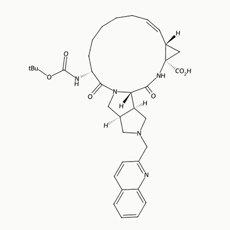 CC(C)(C)OC(=O)N[C@@H]1CCCCC/C=C\[C@@H]2C[C@@]2(C(=O)O)NC(=O)[C@@H]2[C@H]3CN(Cc4ccc5ccccc5n4)C[C@H]3CN2C1=O